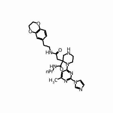 CCCNC(=O)C1(CC(=O)NCCc2ccc3c(c2)OCCO3)CNCCN1c1cc(C)nc(-n2ccnc2)n1